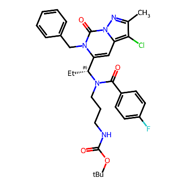 CC[C@H](c1cc2c(Cl)c(C)nn2c(=O)n1Cc1ccccc1)N(CCCNC(=O)OC(C)(C)C)C(=O)c1ccc(F)cc1